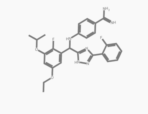 CCOc1cc(OC(C)C)c(F)c(C(Nc2ccc(C(=N)N)cc2)c2nc(-c3ccccc3F)n[nH]2)c1